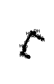 Cc1ncc(-c2ccc3nc(NC(=O)CCOCCOCCOCCC(=O)N[C@H](C(=O)N4C[C@H](O)C[C@H]4C(=O)NCc4ccc(-c5scnc5C)cc4)C(C)(C)C)sc3c2)cc1NC(=O)OC1CCCCC1